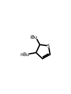 CCCCC1C=CSC1C(C)CC